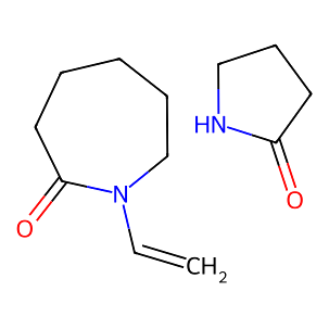 C=CN1CCCCCC1=O.O=C1CCCN1